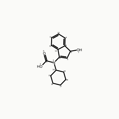 O=C(O)N(C1=CC(O)c2ccccc21)C1CCCCC1